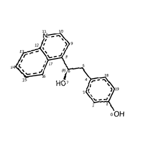 Oc1ccc(C[C@@H](O)c2ccnc3ccccc23)cc1